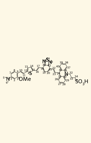 COc1cc(N(C)C)ccc1/C=C/c1ccc(/C=C/c2ccc(/C=C/C3c4ccccc4N(CCCS(=O)(=O)O)c4ccccc43)c3nsnc23)s1